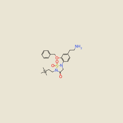 C[Si](C)(C)CCN1C(=O)CN(c2ccc(CCN)cc2OCc2ccccc2)S1(=O)=O